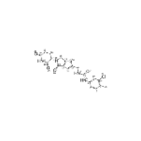 Cc1ccc(NC(=O)NCc2cc3c(s2)CN([C@H]2CCC(=O)NC2=O)C3=O)cc1Cl